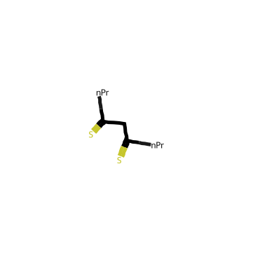 CCCC(=S)CC(=S)CCC